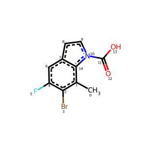 Cc1c(Br)c(F)cc2ccn(C(=O)O)c12